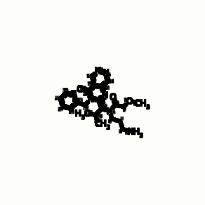 COCC(=O)N(CCCN)C(c1nc2cnncc2c(=O)n1Cc1ccccc1)C(C)C